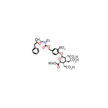 CCN(COC(C)Cc1ccccc1)C(=O)OCc1ccc(O[C@@H]2O[C@H](C(=O)OC)[C@@H](CC(=O)O)[C@H](CC(=O)O)[C@H]2CC(=O)O)c([N+](=O)[O-])c1